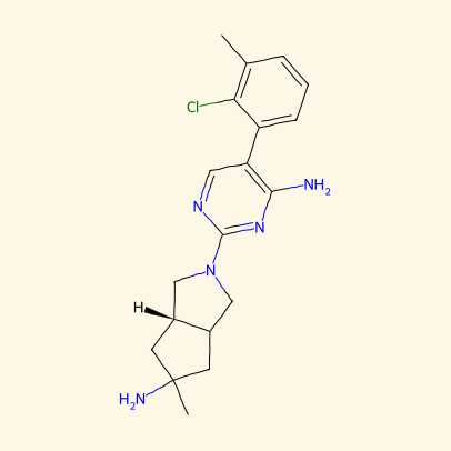 Cc1cccc(-c2cnc(N3CC4CC(C)(N)C[C@@H]4C3)nc2N)c1Cl